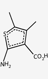 Cc1sc(N)c(C(=O)O)c1C